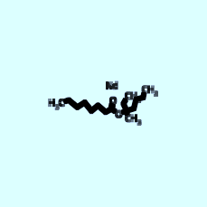 CCCCCCCC(=O)OC(C)(CC)CCCC.[Nd]